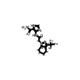 NC(=O)c1[nH]cnc1NC(=O)Cn1nc(C(F)(F)F)c2c1CCCC2